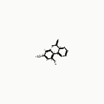 C=C(C)c1ccccc1-c1ccc(CCCC)cc1F